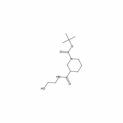 CC(C)(C)OC(=O)N1CCCC(C(=O)NCCO)C1